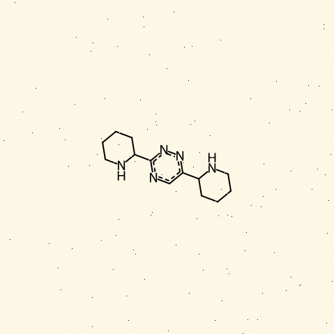 c1nc(C2CCCCN2)nnc1C1CCCCN1